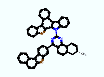 C[C@H]1C=Cc2c(ccc3c(-c4ccc5c(c4)sc4ccc6ccccc6c45)nc(-n4c5ccccc5c5c6ccccc6c6c7ccccc7sc6c54)nc23)C1